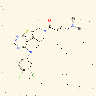 CCN(CC)CC=CC(=O)N1CCc2c(sc3ncnc(Nc4ccc(F)c(Cl)c4)c23)C1